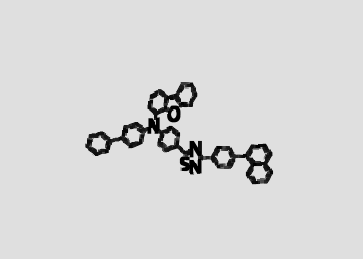 c1ccc(-c2ccc(N(c3ccc(-c4nc(-c5ccc(-c6cccc7ccccc67)cc5)ns4)cc3)c3cccc4c3oc3ccccc34)cc2)cc1